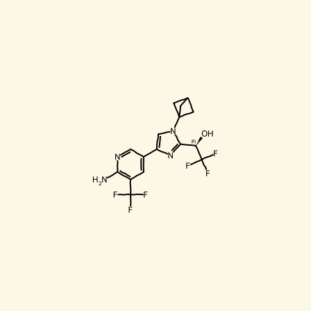 Nc1ncc(-c2cn(C34CC(C3)C4)c([C@@H](O)C(F)(F)F)n2)cc1C(F)(F)F